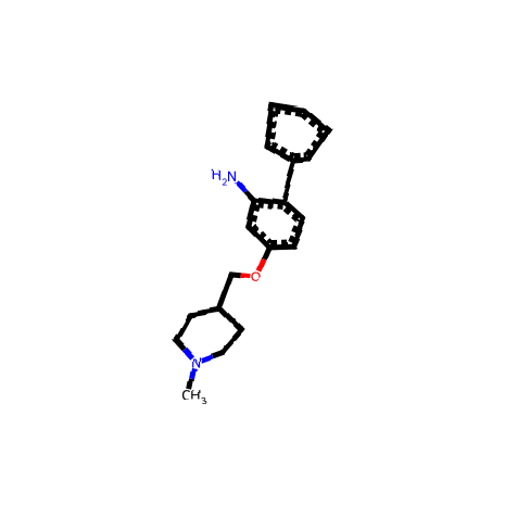 CN1CCC(COc2ccc(-c3ccccc3)c(N)c2)CC1